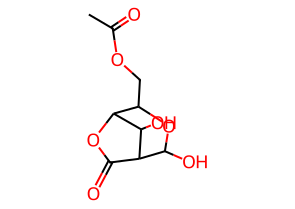 CC(=O)OCC1OC(O)C2C(=O)OC1C2O